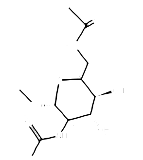 CO[C@@H]1SC(COC(C)=O)[C@@H](O)[C@H](O)C1NC(C)=O